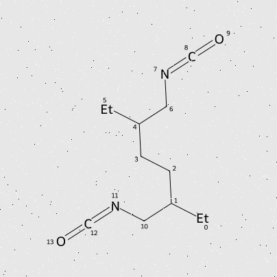 CCC(CCC(CC)CN=C=O)CN=C=O